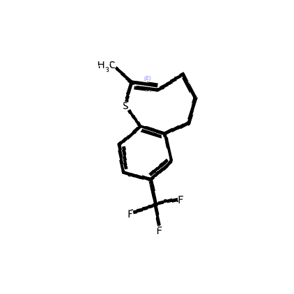 C/C1=C\CCCc2cc(C(F)(F)F)ccc2S1